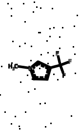 Cn1[c]cc(C(F)(F)F)c1